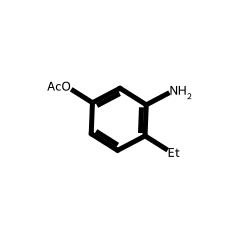 CCc1ccc(OC(C)=O)cc1N